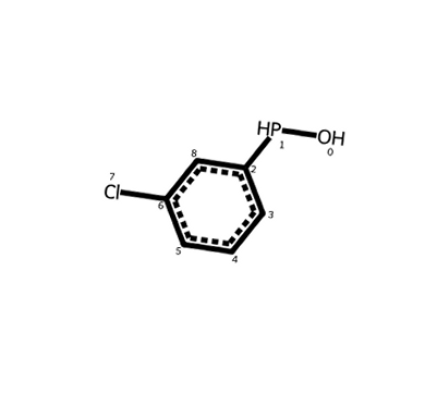 OPc1cccc(Cl)c1